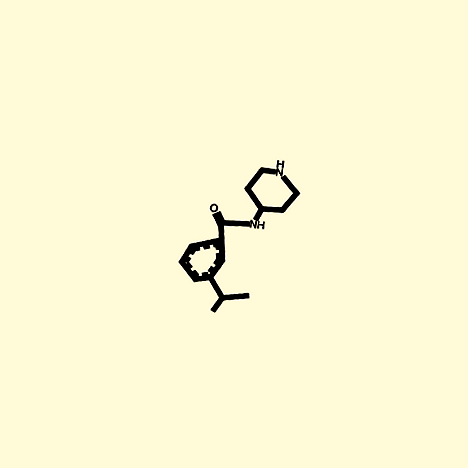 CC(C)c1cccc(C(=O)NC2CCNCC2)c1